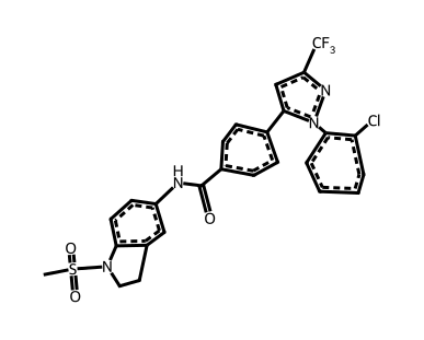 CS(=O)(=O)N1CCc2cc(NC(=O)c3ccc(-c4cc(C(F)(F)F)nn4-c4ccccc4Cl)cc3)ccc21